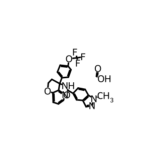 Cn1ncc2cc(C(=O)NC3(c4ccc(OC(F)(F)F)cc4)CCOc4cccnc43)ccc21.O=CO